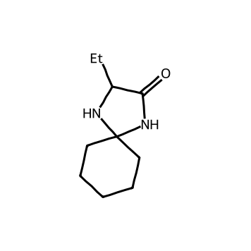 CCC1NC2(CCCCC2)NC1=O